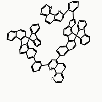 c1cc(-c2ccc3c4c(ccc3c2)-c2c(ccc3ccccc23)C42c3ccccc3-c3ccccc32)cc(-c2cc(-c3ccc4c5c(ccc4c3)C3(c4ccccc4-c4ccccc43)c3c-5ccc4cc(-c5ccccc5-c5ccc6ccc7cccnc7c6n5)ccc34)c3ccc4cccnc4c3n2)c1